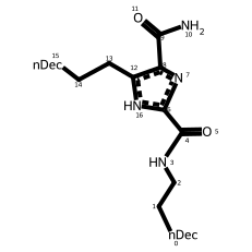 CCCCCCCCCCCCNC(=O)c1nc(C(N)=O)c(CCCCCCCCCCCC)[nH]1